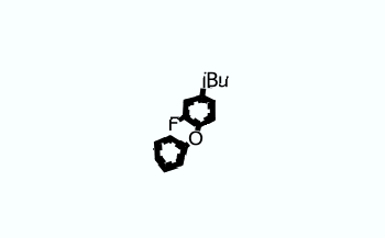 CCC(C)c1ccc(Oc2ccccc2)c(F)c1